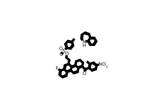 C1=CNc2ccccc2C=C1.Cc1ccc(S(=O)(=O)OCCC2C=c3c(F)cccc3=c3ccc4c(c32)CCCC=4C(=O)c2ccc([N+](=O)[O-])cc2C)cc1